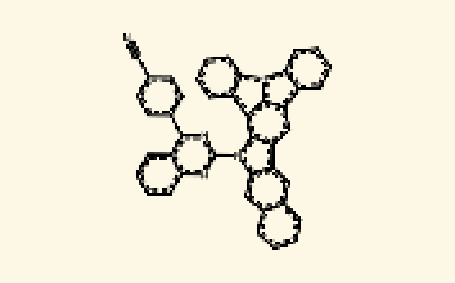 N#Cc1ccc(-c2nc(-n3c4cc5ccccc5cc4c4cc5c6ccccc6n6c7ccccc7c(c43)c56)nc3ccccc23)cc1